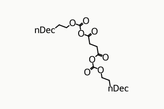 CCCCCCCCCCCCOC(=O)OC(=O)CCC(=O)OC(=O)OCCCCCCCCCCCC